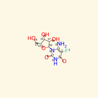 Nc1c(F)c(=O)[nH]c(=O)n1[C@H]1O[C@@H](CO)C(O)C1O